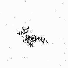 C=CC(=O)N[C@H]1CC[C@@H](NC(=O)c2sc3nccc4c3c2NC(=O)N4c2ccc(Oc3ccccc3)cn2)C1